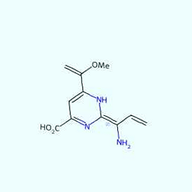 C=C/C(N)=C1/N=C(C(=O)O)C=C(C(=C)OC)N1